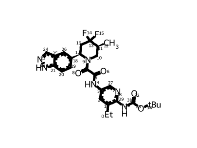 CCc1cc(NC(=O)C(=O)N2C[C@H](C)C(F)(F)C[C@@H]2c2ccc3[nH]ncc3c2)cnc1NC(=O)OC(C)(C)C